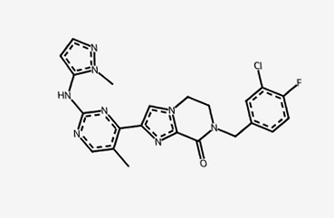 Cc1cnc(Nc2ccnn2C)nc1-c1cn2c(n1)C(=O)N(Cc1ccc(F)c(Cl)c1)CC2